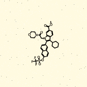 COC(=O)c1ccc2c(C3CCCCC3)c(-c3ccc4cc(OS(=O)(=O)C(F)(F)F)ccc4c3)n(CC(=O)N3CCOCC3)c2c1